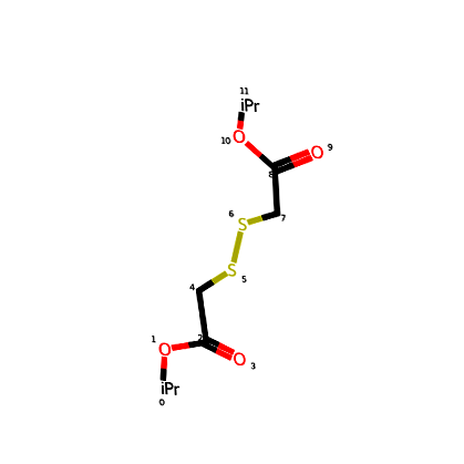 CC(C)OC(=O)CSSCC(=O)OC(C)C